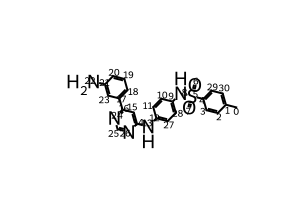 Cc1ccc(S(=O)(=O)Nc2ccc(Nc3cc(-c4cccc(N)c4)ncn3)cc2)cc1